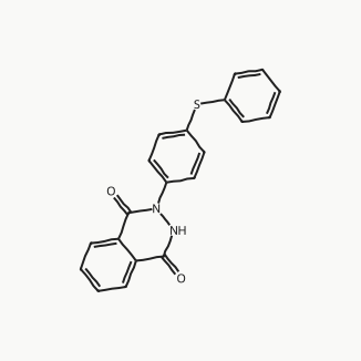 O=c1[nH]n(-c2ccc(Sc3ccccc3)cc2)c(=O)c2ccccc12